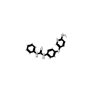 Nc1ccc(Oc2ccc(NC(=O)Nc3ccccc3)cc2)cn1